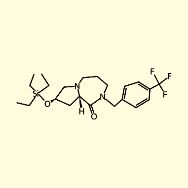 CC[Si](CC)(CC)O[C@@H]1C[C@H]2C(=O)N(Cc3ccc(C(F)(F)F)cc3)CCCN2C1